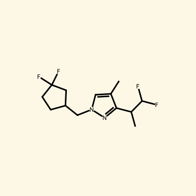 Cc1cn(CC2CCC(F)(F)C2)nc1C(C)C(F)F